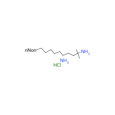 CCCCCCCCCCCCCCCCCC(C)(C)N.Cl.N